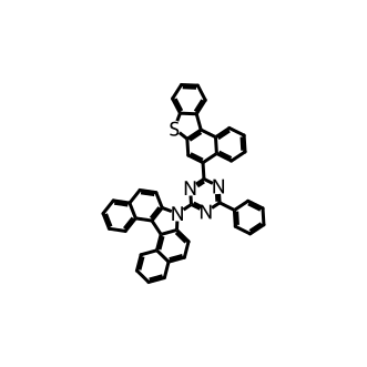 c1ccc(-c2nc(-c3cc4sc5ccccc5c4c4ccccc34)nc(-n3c4ccc5ccccc5c4c4c5ccccc5ccc43)n2)cc1